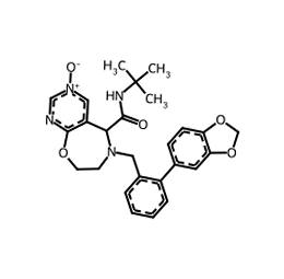 CC(C)(C)NC(=O)C1c2c[n+]([O-])cnc2OCCN1Cc1ccccc1-c1ccc2c(c1)OCO2